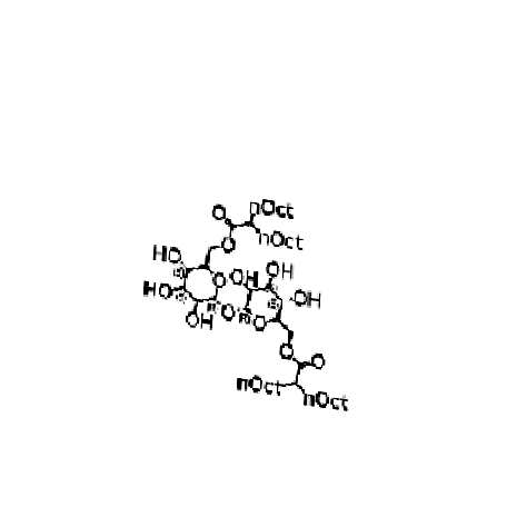 CCCCCCCCC(CCCCCCCC)C(=O)OCC1O[C@H](O[C@H]2OC(COC(=O)C(CCCCCCCC)CCCCCCCC)[C@@H](O)[C@H](O)C2O)C(O)[C@@H](O)[C@@H]1O